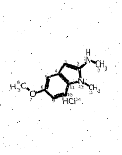 CNc1cc2cc(OC)ccc2n1C.Cl